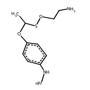 CCCNc1ccc(OC(C)SOCCN)cc1